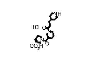 Cl.O=C(O)[C@H]1C#CCCN1C(=O)C1CCCN(C(=O)CCC2CCNCC2)C1